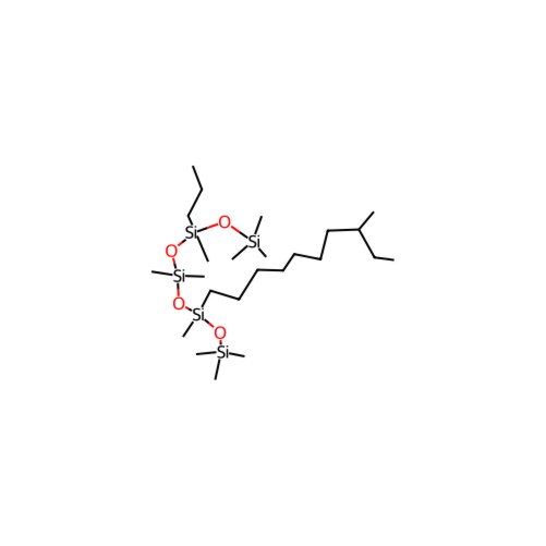 CCC[Si](C)(O[Si](C)(C)C)O[Si](C)(C)O[Si](C)(CCCCCCCC(C)CC)O[Si](C)(C)C